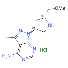 COC[C@H]1C[C@H](n2nc(I)c3c(N)ncnc32)CN1.Cl